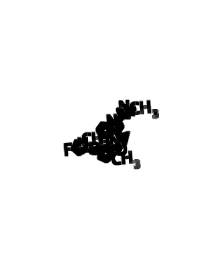 Cc1ccc(OC[C@@H]2C[C@@H](F)CN2C)cc1C(=O)NC1(c2cc(-c3cnn(C)c3)nc3ccccc23)CC1